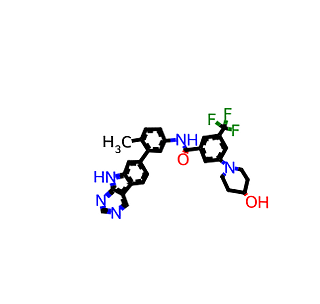 Cc1ccc(NC(=O)c2cc(N3CCC(O)CC3)cc(C(F)(F)F)c2)cc1-c1ccc2c(c1)[nH]c1ncncc12